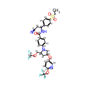 CCS(=O)(=O)c1ccc([C@H](CC#N)NC(=O)c2ccc(N3C[C@@H](Oc4ccc(OC(F)(F)F)nc4)C[C@H]3COC(F)F)cc2)cc1